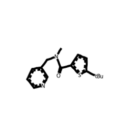 CN(Cc1cccnc1)C(=O)c1ccc(C(C)(C)C)s1